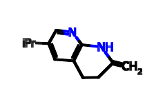 C=C1CCc2cc(C(C)C)cnc2N1